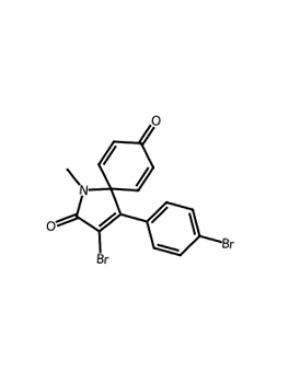 CN1C(=O)C(Br)=C(c2ccc(Br)cc2)C12C=CC(=O)C=C2